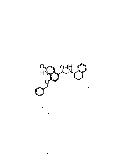 O=c1ccc2c(C(O)CN[C@@H]3CCCc4ccccc43)ccc(OCc3ccccc3)c2[nH]1